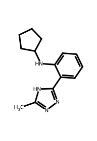 Cc1nnc(-c2ccccc2NC2CCCC2)[nH]1